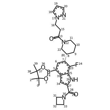 CC1(C)OB(c2cc([C@H]3CCCN(C(=O)CCn4cccn4)C3)c(F)c3[nH]c(C(=O)N4CCC4)cc23)OC1(C)C